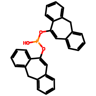 OP(OC1=Cc2ccccc2Cc2ccccc21)OC1=Cc2ccccc2Cc2ccccc21